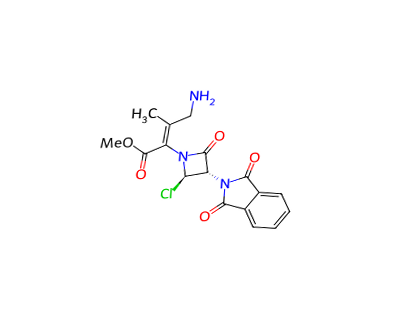 COC(=O)/C(=C(\C)CN)N1C(=O)[C@H](N2C(=O)c3ccccc3C2=O)[C@H]1Cl